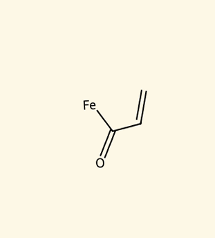 C=C[C](=O)[Fe]